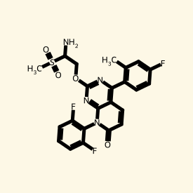 Cc1cc(F)ccc1-c1nc(OCC(N)S(C)(=O)=O)nc2c1ccc(=O)n2-c1c(F)cccc1F